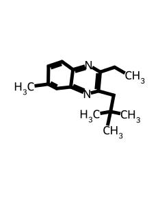 CCc1nc2ccc(C)cc2nc1CC(C)(C)C